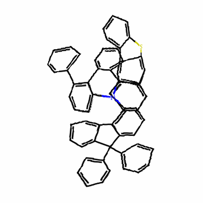 c1ccc(-c2ccccc2-c2c(-c3ccccc3)cccc2N(c2ccc3sc4ccccc4c3c2)c2cccc3c2-c2ccccc2C3(c2ccccc2)c2ccccc2)cc1